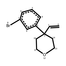 C=CC1(c2cccc(Br)c2)CCOCC1